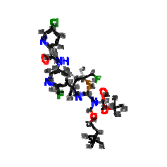 C[C@@H]1[C@@](C)(CF)SC(N(COCC[Si](C)(C)C)C(=O)OC(C)(C)C)=N[C@]1(C)c1cc(NC(=O)c2ccc(Cl)cn2)cnc1F